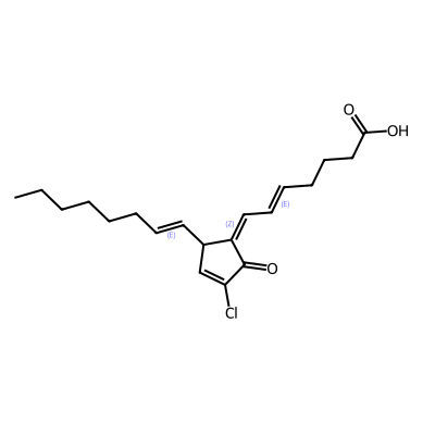 CCCCCC/C=C/C1C=C(Cl)C(=O)/C1=C\C=C\CCCC(=O)O